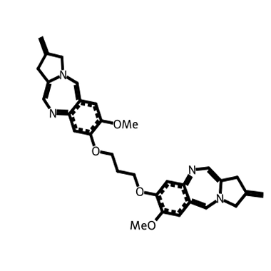 C=C1CC2=CN=c3cc(OCCCOc4cc5c(cc4OC)=CN4CC(=C)CC4=CN=5)c(OC)cc3=CN2C1